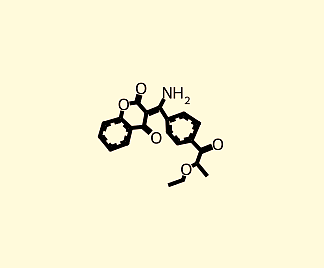 CCOC(C)C(=O)c1ccc(/C(N)=C2/C(=O)Oc3ccccc3C2=O)cc1